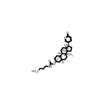 C[C@]12CC[C@H](OC(=O)NCCCC(=O)O)C[C@H]1CC[C@]1(C)[C@@H]2CC[C@]2(C)[C@@H](c3ccc(=O)oc3)CC[C@@]21O